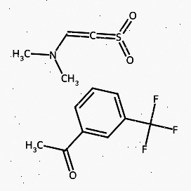 CC(=O)c1cccc(C(F)(F)F)c1.CN(C)C=C=S(=O)=O